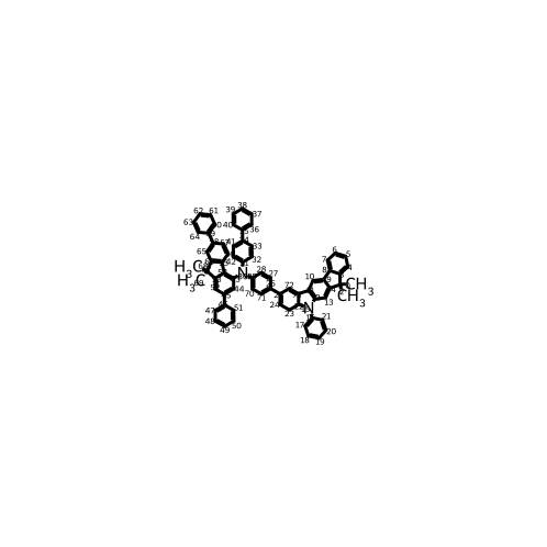 CC1(C)c2ccccc2-c2cc3c(cc21)N(c1ccccc1)C1CC=C(c2ccc(N(c4ccc(-c5ccccc5)cc4)c4cc(-c5ccccc5)cc5c4-c4ccc(-c6ccccc6)cc4C5(C)C)cc2)C=C31